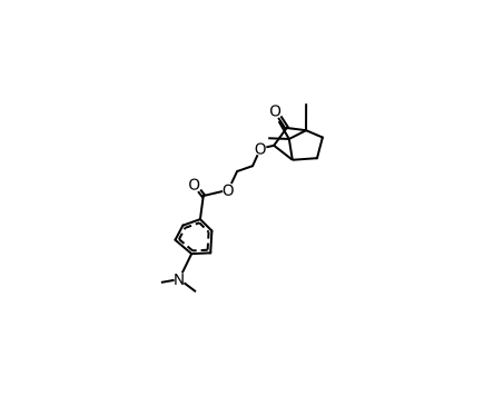 CN(C)c1ccc(C(=O)OCCOC2C(=O)C3(C)CCC2C3(C)C)cc1